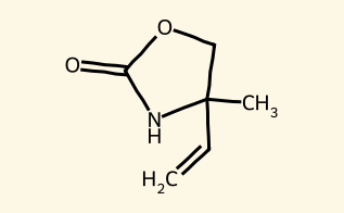 C=CC1(C)COC(=O)N1